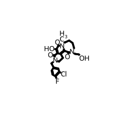 CC1CCCN(CCO)C(=O)c2c3c(c(O)c(=O)n21)C(=O)N(Cc1ccc(F)c(Cl)c1)CC3